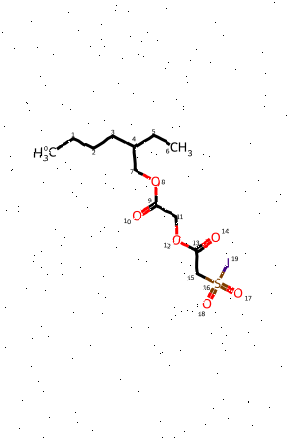 CCCCC(CC)COC(=O)COC(=O)CS(=O)(=O)I